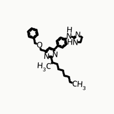 CCCCCCCC(C)c1nc(COCc2ccccc2)cc(-c2ccc(NC3=NCCN3)cc2)n1